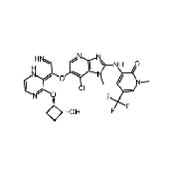 Cn1cc(C(F)(F)F)cc(Nc2nc3ncc(O/C(C=N)=C4/NC=CN=C4O[C@@H]4CC[C@H]4O)c(Cl)c3n2C)c1=O